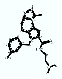 Cc1nnc2ccc3c(cc(C(=O)NCCN(C)C)n3Cc3cccc(Cl)c3)n12